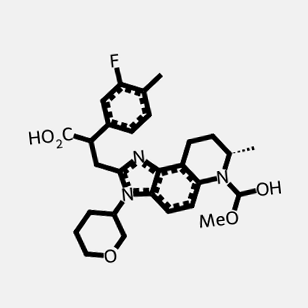 COC(O)N1c2ccc3c(nc(CC(C(=O)O)c4ccc(C)c(F)c4)n3C3CCCOC3)c2CC[C@@H]1C